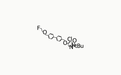 CC(C)(C)n1ncc(OCc2ccc(-c3ccc(COCCF)cc3)cc2)c(Cl)c1=O